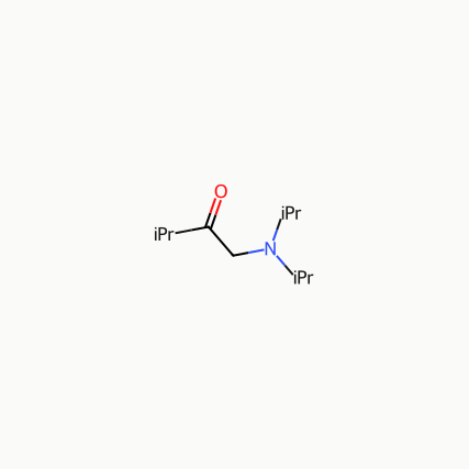 CC(C)C(=O)CN(C(C)C)C(C)C